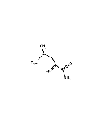 CC(C)CC(=N)C(N)=O